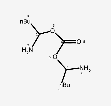 CCCCC(N)OC(=O)OC(N)CCCC